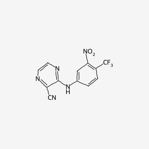 N#Cc1nccnc1Nc1ccc(C(F)(F)F)c([N+](=O)[O-])c1